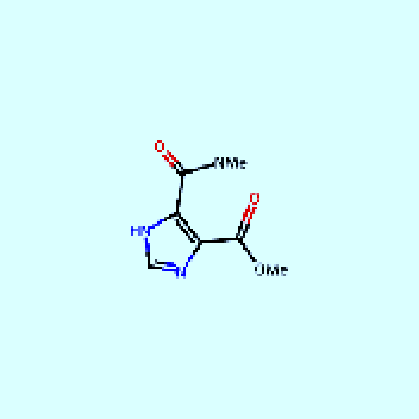 CNC(=O)c1[nH]cnc1C(=O)OC